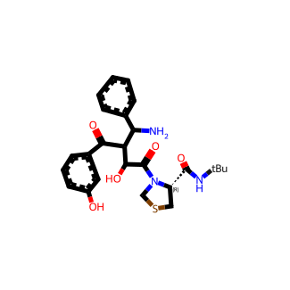 CC(C)(C)NC(=O)[C@@H]1CSCN1C(=O)C(O)C(C(=O)c1cccc(O)c1)C(N)c1ccccc1